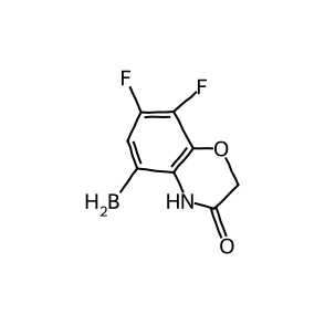 Bc1cc(F)c(F)c2c1NC(=O)CO2